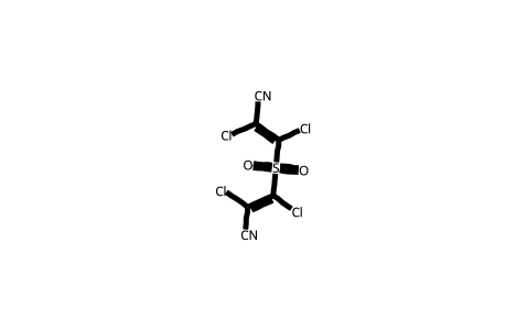 N#CC(Cl)=C(Cl)S(=O)(=O)C(Cl)=C(Cl)C#N